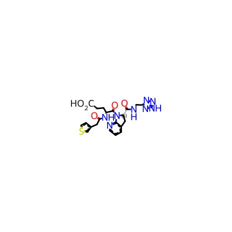 O=C(O)CCC(NC(=O)Cc1ccsc1)C(=O)N1c2ncccc2C[C@H]1C(=O)NCc1nn[nH]n1